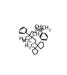 CB(c1ccccc1)N(C)CCC(C)(c1ccccc1)C(C)(C)CCC1(C2(C)CCCC2)CCCC1